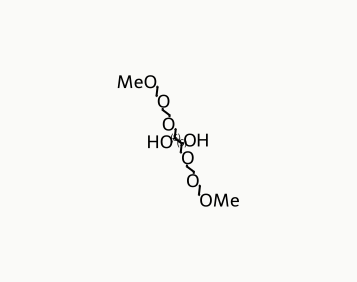 COCCOCCOC[C@H](O)[C@@H](O)COCCOCCOC